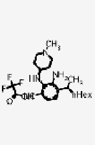 CCCCCCC(C)c1ccc(C#N)c(NC2CCN(C)CC2)c1N.O=C(O)C(F)(F)F